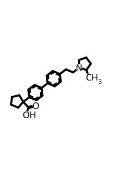 CC1CCCN1CCc1ccc(-c2ccc(C3(C(=O)O)CCCC3)cc2)cc1